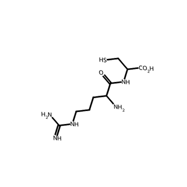 N=C(N)NCCCC(N)C(=O)NC(CS)C(=O)O